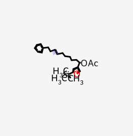 CC(=O)OC(CCCCC/C=C/CCc1ccccc1)c1coc([Si](C)(C)C)c1